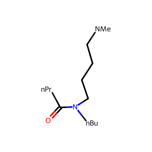 CCCCN(CCCCNC)C(=O)CCC